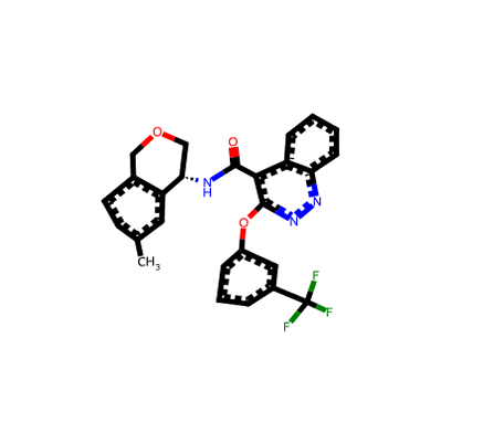 Cc1ccc2c(c1)[C@@H](NC(=O)c1c(Oc3cccc(C(F)(F)F)c3)nnc3ccccc13)COC2